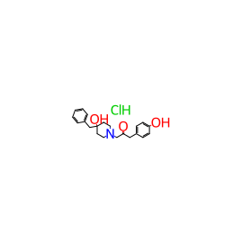 Cl.O=C(Cc1ccc(O)cc1)CN1CCC(O)(Cc2ccccc2)CC1